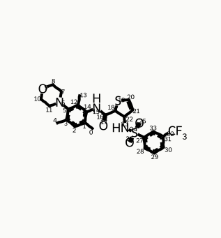 Cc1cc(C)c(N2CCOCC2)c(C)c1NC(=O)C1SC=CC1NS(=O)(=O)c1cccc(C(F)(F)F)c1